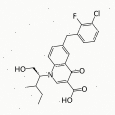 CCC(C)[C@@H](CO)n1cc(C(=O)O)c(=O)c2cc(Cc3cccc(Cl)c3F)ccc21